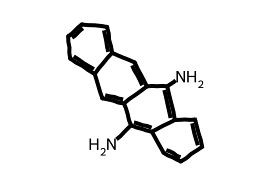 Nc1c2ccccc2c(N)c2cc3ccccc3cc12